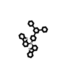 c1ccc(-c2cc(-c3ccccc3)cc(-c3ccc(N(c4cccc5c4sc4ccccc45)c4cccc5c4sc4ccccc45)cc3)c2)cc1